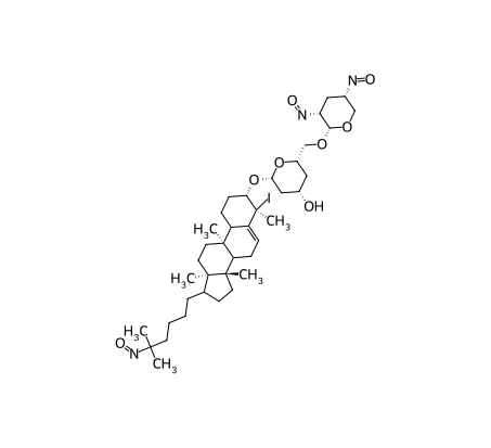 CC(C)(CCCCC1CC[C@@]2(C)C3CC=C4C(CC[C@H](O[C@H]5C[C@@H](O)C[C@@H](CO[C@H]6OC[C@@H](N=O)C[C@H]6N=O)O5)[C@@]4(C)I)[C@]3(C)CC[C@]12C)N=O